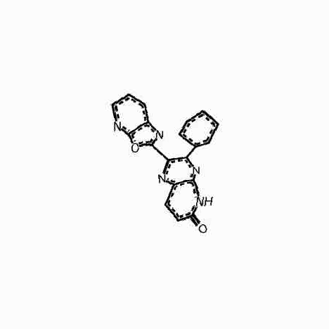 O=c1ccc2nc(-c3nc4cccnc4o3)c(-c3ccccc3)nc2[nH]1